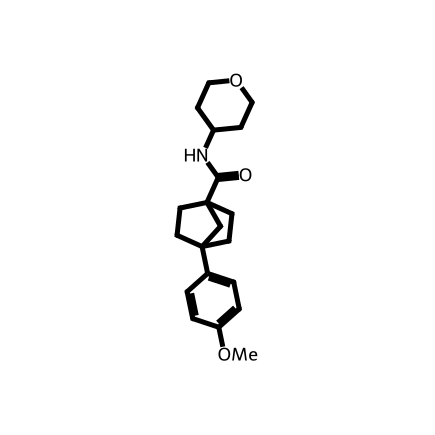 COc1ccc(C23CCC(C(=O)NC4CCOCC4)(CC2)C3)cc1